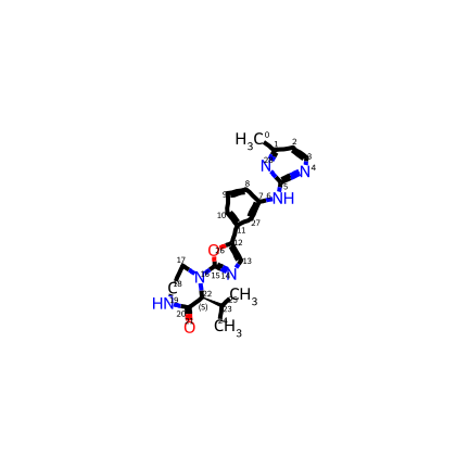 Cc1ccnc(Nc2cccc(-c3cnc(N4CCNC(=O)[C@@H]4C(C)C)o3)c2)n1